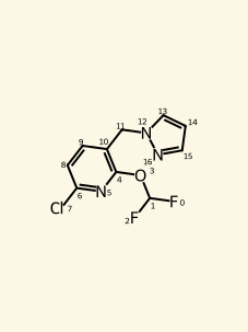 FC(F)Oc1nc(Cl)ccc1Cn1cccn1